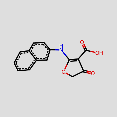 O=C(O)C1=C(Nc2ccc3ccccc3c2)OCC1=O